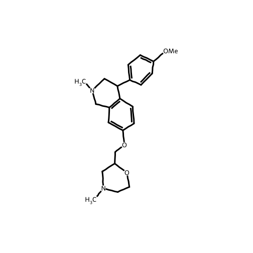 COc1ccc(C2CN(C)Cc3cc(OCC4CN(C)CCO4)ccc32)cc1